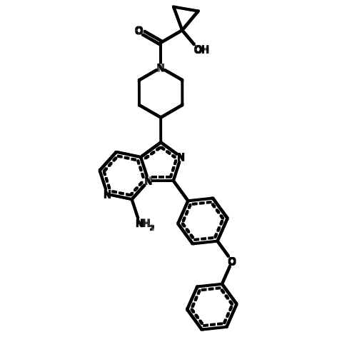 Nc1nccc2c(C3CCN(C(=O)C4(O)CC4)CC3)nc(-c3ccc(Oc4ccccc4)cc3)n12